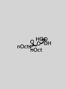 CCCCCCCCP(CCCCCCCC)C(=O)COCP(=O)(O)O